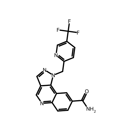 NC(=O)c1ccc2ncc3cnn(Cc4ccc(C(F)(F)F)cn4)c3c2c1